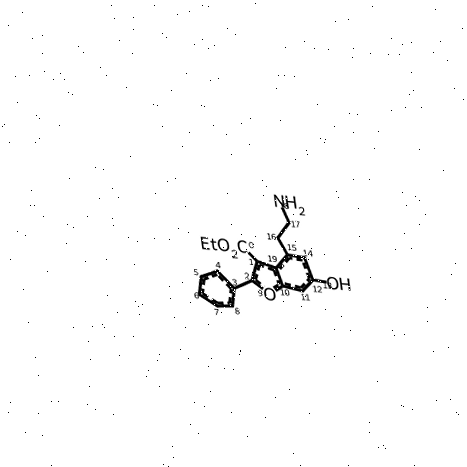 CCOC(=O)c1c(-c2ccccc2)oc2cc(O)cc(CCN)c12